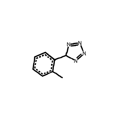 Cc1ccccc1C1N=NN=N1